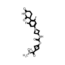 CN(C)C(=O)C12CC(OC(=O)NC3CN(c4cc(F)c(C5CCC(=O)NC5=O)c(F)c4)C3)(C1)C2